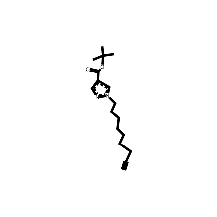 C#CCCCCCCCn1cc(C(=O)OC(C)(C)C)cn1